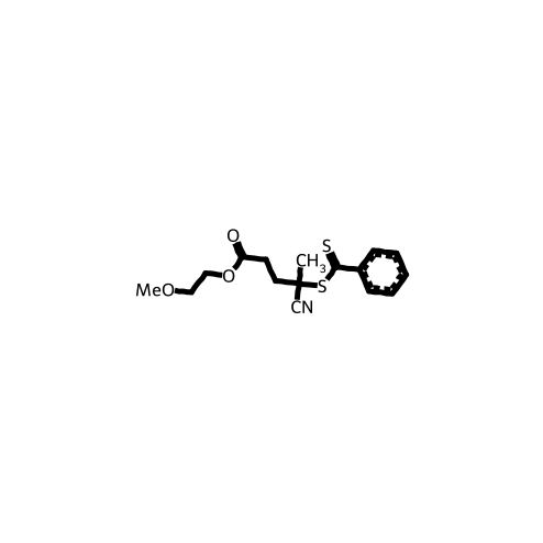 COCCOC(=O)CCC(C)(C#N)SC(=S)c1ccccc1